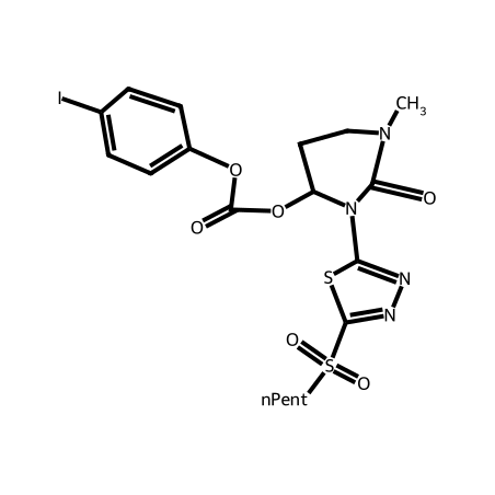 CCCCCS(=O)(=O)c1nnc(N2C(=O)N(C)CCC2OC(=O)Oc2ccc(I)cc2)s1